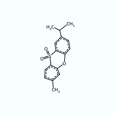 Cc1ccc2c(c1)Oc1ccc(C(C)C)cc1S2(=O)=O